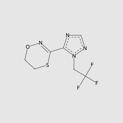 FC(F)(F)Cn1ncnc1C1=NOCCS1